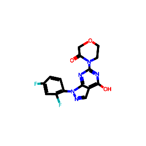 O=C1COCCN1c1nc(O)c2cnn(-c3ccc(F)cc3F)c2n1